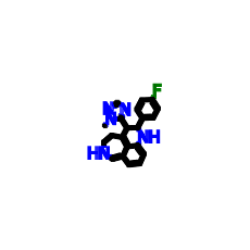 Cn1ncnc1C1C2=c3c(cccc3=CNCC2)NC1c1ccc(F)cc1